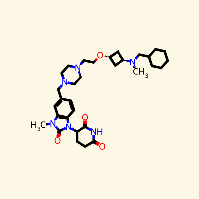 Cn1c(=O)n(C2CCC(=O)NC2=O)c2ccc(CN3CCN(CCO[C@H]4C[C@H](N(C)CC5CCCCC5)C4)CC3)cc21